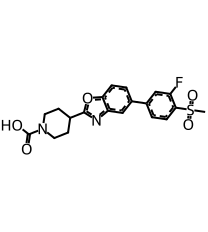 CS(=O)(=O)c1ccc(-c2ccc3oc(C4CCN(C(=O)O)CC4)nc3c2)cc1F